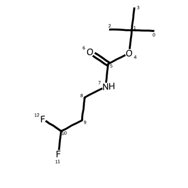 CC(C)(C)OC(=O)NCCC(F)F